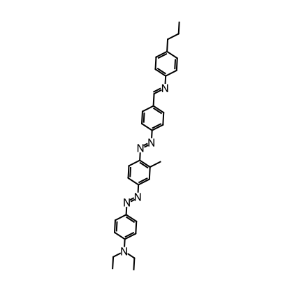 CCCc1ccc(N=Cc2ccc(N=Nc3ccc(N=Nc4ccc(N(CC)CC)cc4)cc3C)cc2)cc1